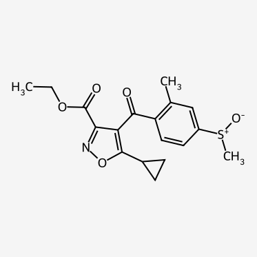 CCOC(=O)c1noc(C2CC2)c1C(=O)c1ccc([S+](C)[O-])cc1C